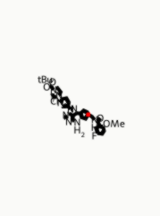 COc1ccc(F)cc1C(=O)NCc1ccc(-c2nn(-c3ccc(N4CCN(C(=O)OC(C)(C)C)C[C@H]4C)nc3)c3ncnc(N)c23)cc1